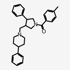 Cc1ccc(C(=O)N2CC(CN3CCC(c4ccccc4)CC3)C(c3ccccc3)C2)cc1